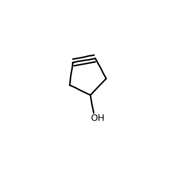 OC1CC#CC1